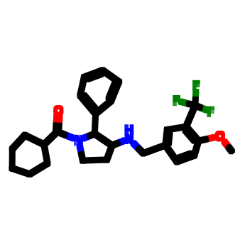 COc1ccc(CNC2CCN(C(=O)C3CCCCC3)C2c2ccccc2)cc1C(F)(F)F